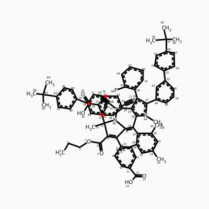 CCCOC(=O)C1=C(c2ccc(C(=O)O)cc2)/C(=C(\c2c(C)cc(C)cc2C)c2c(-c3ccc(C(=O)O)cc3)c(-c3ccccc3F)c(-c3cccc(-c4ccc(C(C)(C)C)cc4)c3)n2C)N(B(C#N)C#N)C1(C)c1cccc(-c2ccc(C(C)(C)C)cc2)c1